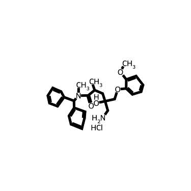 COc1ccccc1OCC(O)(CN)CC(C)C(=O)N(C)C(c1ccccc1)c1ccccc1.Cl